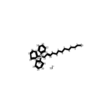 ICCCCCCCCCC=CC[P+](c1ccccc1)(c1ccccc1)c1ccccc1.[I-]